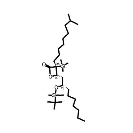 CCCCCCC[C@@H](C[C@@H]1OC(=O)[C@]1(CCCCCCCC(C)C)[Si](C)(C)C)O[Si](C)(C)C(C)(C)C